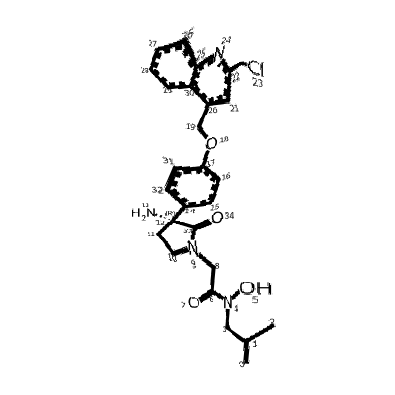 CC(C)CN(O)C(=O)CN1CC[C@@](N)(c2ccc(OCc3cc(Cl)nc4ccccc34)cc2)C1=O